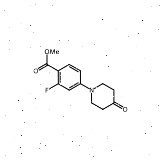 COC(=O)c1ccc(N2CCC(=O)CC2)cc1F